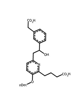 CCCCCCCCCCOc1ccc(CC(O)c2cccc(CC(=O)O)c2)nc1CCCC(=O)O